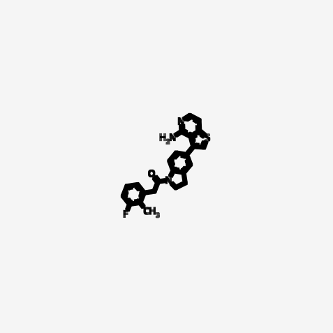 Cc1c(F)cccc1CC(=O)N1CCc2cc(-c3csc4ccnc(N)c34)ccc21